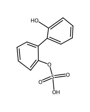 O=S(=O)(O)Oc1ccccc1-c1ccccc1O